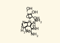 N=C(NN)c1c(NN)n([C@@H]2O[C@H](CO)[C@@H](O)C2O)c2ncnc(N)c12